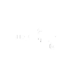 O=C(O)c1nc2c(Br)cccc2s1